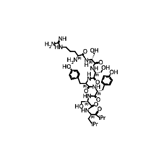 CC(C)C[C@@H](NC(=O)[C@@H](CO)NC(=O)[C@@H](Cc1ccc(O)cc1)NC(=O)[C@@H](Cc1ccc(O)cc1)NC(=O)[C@@H](CO)NC(=O)[C@@H](CO)NC(=O)[C@H](N)CCCNC(=N)N)C(=O)C(C)C